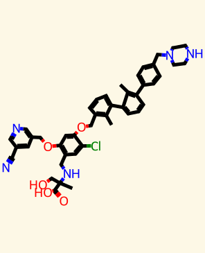 Cc1c(COc2cc(OCc3cncc(C#N)c3)c(CNC(C)(CO)C(=O)O)cc2Cl)cccc1-c1cccc(-c2ccc(CN3CCNCC3)cc2)c1C